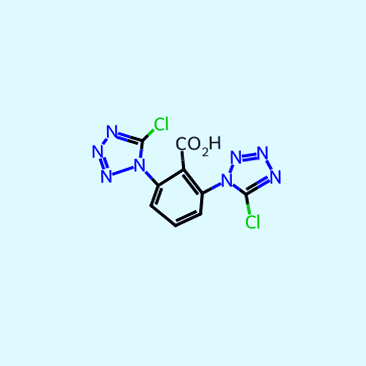 O=C(O)c1c(-n2nnnc2Cl)cccc1-n1nnnc1Cl